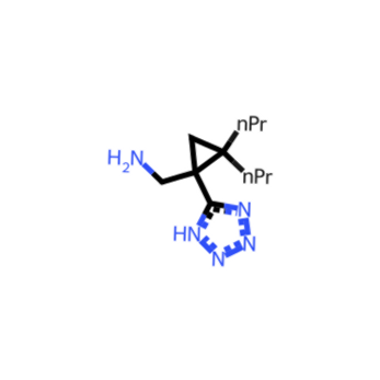 CCCC1(CCC)CC1(CN)c1nnn[nH]1